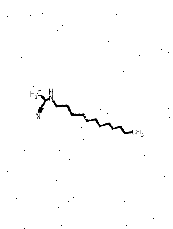 CCCCCCCCCCCCNC(C)C#N